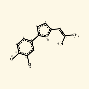 CC(N)=Cc1ccc(-c2ccc(Cl)c(Cl)c2)o1